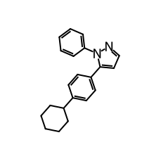 c1ccc(-n2nccc2-c2ccc(C3CCCCC3)cc2)cc1